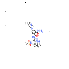 CN1CCN(c2ccc(C(=O)Nc3n[nH]c4c3CN(S(=O)(=O)C3CC3)CC4(C)C)c(C(N)=O)c2)CC1